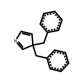 C1=CC(Cc2ccccc2)(Cc2ccccc2)C=N1